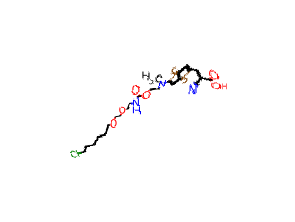 CN(CCOC(=O)NCCOCCOCCCCCCCl)c1cc2sc(/C=C(\C#N)C(=O)O)cc2s1